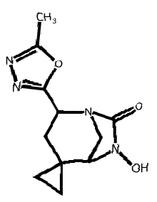 Cc1nnc(C2CC3(CC3)C3CN2C(=O)N3O)o1